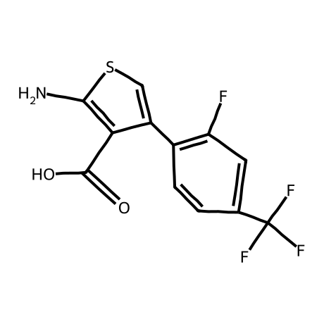 Nc1scc(-c2ccc(C(F)(F)F)cc2F)c1C(=O)O